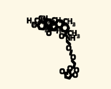 CC1(C)C(=O)CC[C@]2(C)[C@H]3C(=O)C=C4[C@H]5C[C@@](C)(C(=O)NCCOCCOCCC(=O)ON6C(=O)CCC6=O)CC[C@]5(C)CC[C@@]4(C)[C@]3(C)CC[C@@H]12